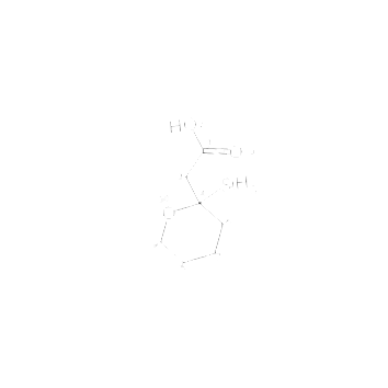 O=C(O)CC1([SiH3])CCCCO1